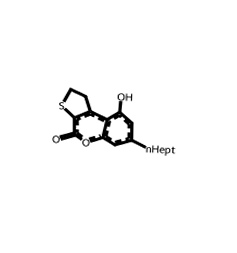 CCCCCCCc1cc(O)c2c3c(c(=O)oc2c1)SCC3